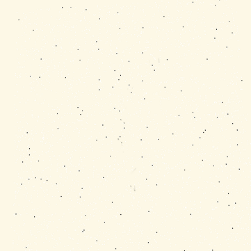 CCCc1ccc2c(ccc3c[n+]4c5ccc(N6CCC6)cc5ccc4n32)c1.[I-]